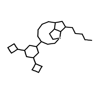 CCCCCC1CC2CCCCC(C3CC(C4CCC4)CC(C4CCC4)C3)CCN3CCC2C13